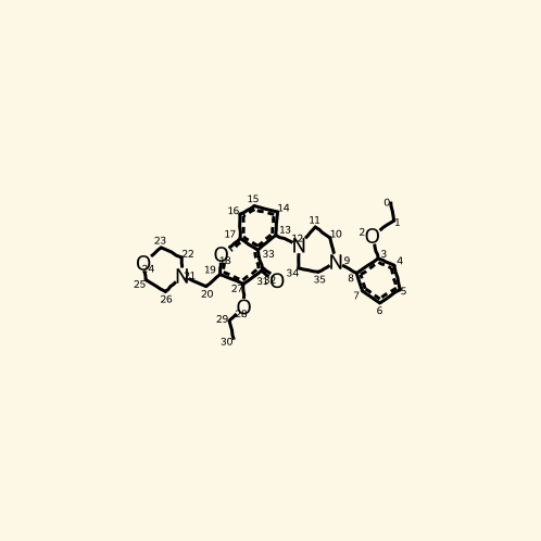 CCOc1ccccc1N1CCN(c2cccc3oc(CN4CCOCC4)c(OCC)c(=O)c23)CC1